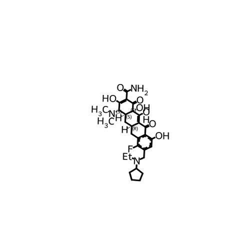 CCN(Cc1cc(O)c2c(c1F)C[C@H]1C[C@H]3[C@H](N(C)C)C(O)=C(C(N)=O)C(=O)[C@@]3(O)C(O)=C1C2=O)C1CCCC1